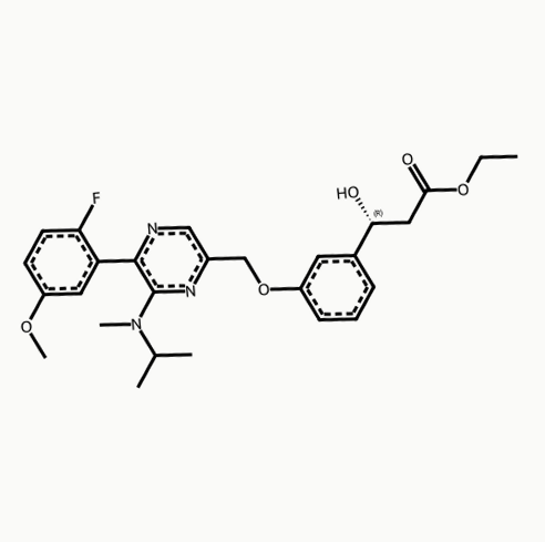 CCOC(=O)C[C@@H](O)c1cccc(OCc2cnc(-c3cc(OC)ccc3F)c(N(C)C(C)C)n2)c1